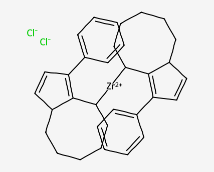 C1=CC2CCCCC[CH]([Zr+2][CH]3CCCCCC4C=CC(c5ccccc5)=C43)C2=C1c1ccccc1.[Cl-].[Cl-]